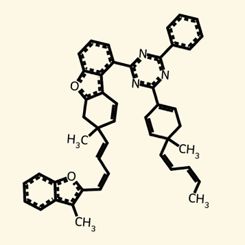 C/C=C\C=C/C1(C)C=CC(c2nc(-c3ccccc3)nc(-c3cccc4oc5c(c34)C=CC(C)(/C=C/C=C\c3oc4ccccc4c3C)C5)n2)=CC1